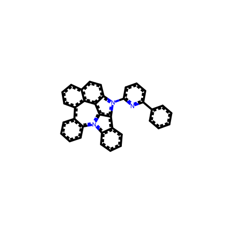 c1ccc(-c2cccc(-n3c4ccc5cccc6c7ccccc7n7c8ccccc8c3c7c4c56)n2)cc1